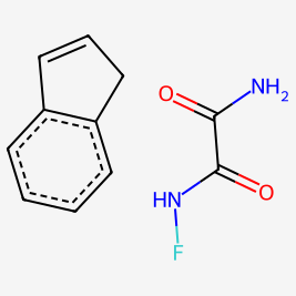 C1=Cc2ccccc2C1.NC(=O)C(=O)NF